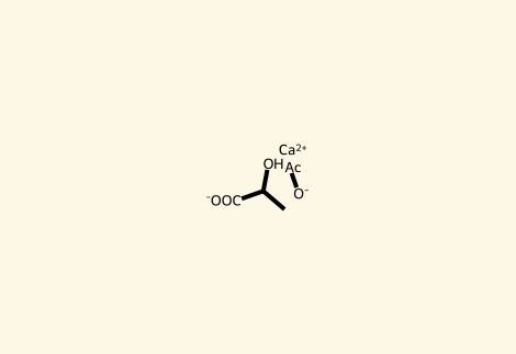 CC(=O)[O-].CC(O)C(=O)[O-].[Ca+2]